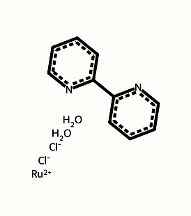 O.O.[Cl-].[Cl-].[Ru+2].c1ccc(-c2ccccn2)nc1